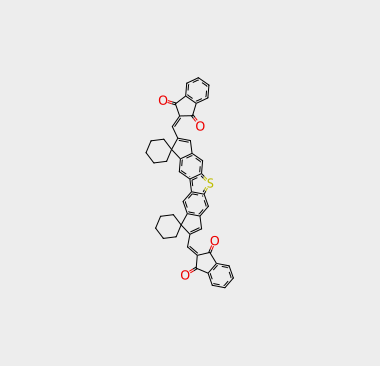 O=C1C(=CC2=Cc3cc4sc5cc6c(cc5c4cc3C23CCCCC3)C2(CCCCC2)C(C=C2C(=O)c3ccccc3C2=O)=C6)C(=O)c2ccccc21